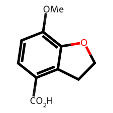 COc1ccc(C(=O)O)c2c1OCC2